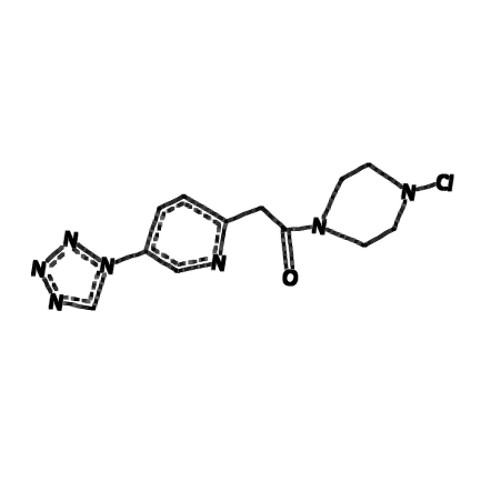 O=C(Cc1ccc(-n2cnnn2)cn1)N1CCN(Cl)CC1